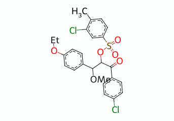 CCOc1ccc(C(OC)C(OS(=O)(=O)c2ccc(C)c(Cl)c2)C(=O)c2ccc(Cl)cc2)cc1